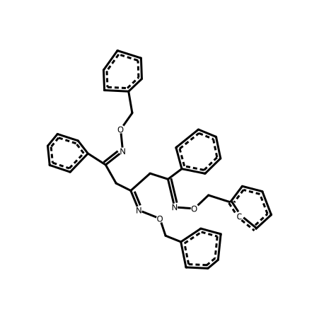 c1ccc(CON=C(CC(=NOCc2ccccc2)c2ccccc2)CC(=NOCc2ccccc2)c2ccccc2)cc1